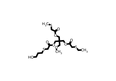 CCSCC(=O)OCC(COC)(COC(=O)CSC)COC(=O)CSCCCO